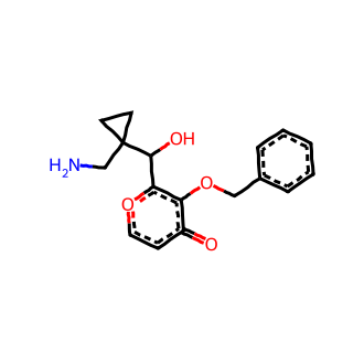 NCC1(C(O)c2occc(=O)c2OCc2ccccc2)CC1